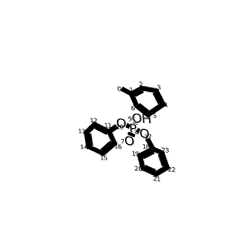 Cc1ccccc1.O=P(O)(Oc1ccccc1)Oc1ccccc1